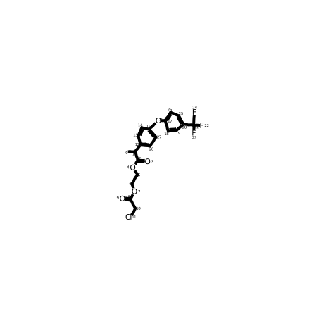 CC(C(=O)OCCOC(=O)CCl)c1ccc(Oc2ccc(C(F)(F)F)cc2)cc1